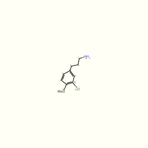 COc1ccc(CCCN)cc1Cl